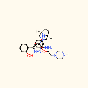 Nc1nnc(-c2ccccc2O)cc1N1C[C@H]2CC[C@@H](C1)N2c1cccc(OCCN2CCNCC2)c1